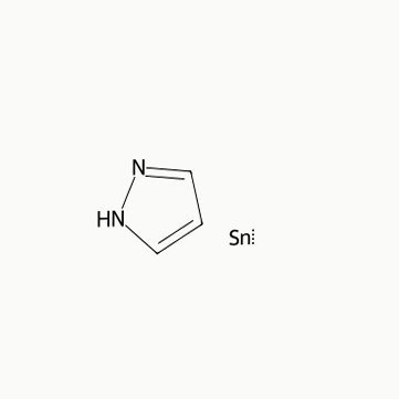 [Sn].c1cn[nH]c1